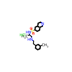 Cc1cccc(CCNCC(C)NS(=O)(=O)c2ccc3cnccc3c2)c1.Cl